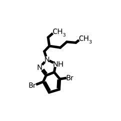 CCCCC(CC)CN1N=C2C(Br)=CC=C(Br)C2N1